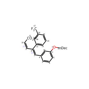 CCCCCCCCCCOc1cccc(/C=C(/C=C\C(=O)O)c2cccc(C(F)(F)F)c2)c1